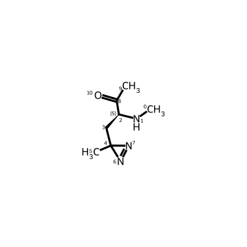 CN[C@@H](CC1(C)N=N1)C(C)=O